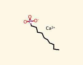 CCCCCCCCCCP(=O)([O-])[O-].[Ca+2]